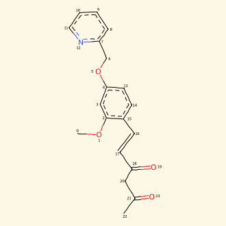 COc1cc(OCc2ccccn2)ccc1/C=C/C(=O)CC(C)=O